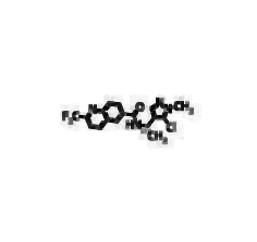 C[C@H](NC(=O)c1ccc2nc(C(F)(F)F)ccc2c1)c1cnn(C)c1Cl